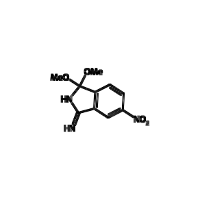 COC1(OC)NC(=N)c2cc([N+](=O)[O-])ccc21